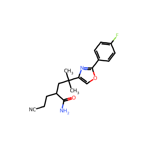 CC(C)(CC(CCC#N)C(N)=O)c1coc(-c2ccc(F)cc2)n1